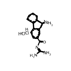 Cl.Cl.NC(N)=NC(=O)c1ccc2c(c1)C(N)c1ccccc1-2